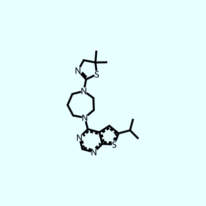 CC(C)c1cc2c(N3CCCN(C4=NCC(C)(C)S4)CC3)ncnc2s1